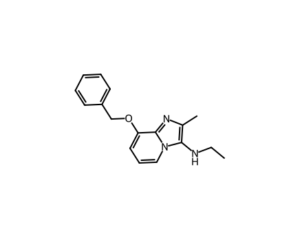 CCNc1c(C)nc2c(OCc3ccccc3)cccn12